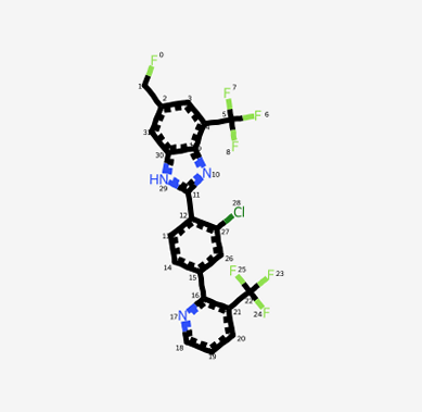 FCc1cc(C(F)(F)F)c2nc(-c3ccc(-c4ncccc4C(F)(F)F)cc3Cl)[nH]c2c1